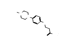 C=C(CCSc1ccc(N2CCN(C)CC2)cc1)OC